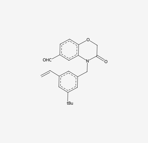 C=Cc1cc(CN2C(=O)COc3ccc(C=O)cc32)cc(C(C)(C)C)c1